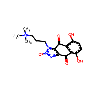 C[N+](C)(C)CCCn1c2c(n[n+]1[O-])C(=O)c1c(O)ccc(O)c1C2=O